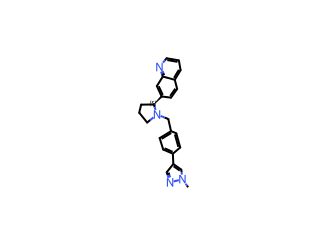 Cn1cc(-c2ccc(CN3CCC[C@H]3c3ccc4cccnc4c3)cc2)cn1